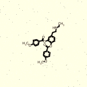 CCNCCc1ccc(OC(=O)c2ccc(OC)cc2)c(OC(=O)c2ccc(OC)cc2)c1